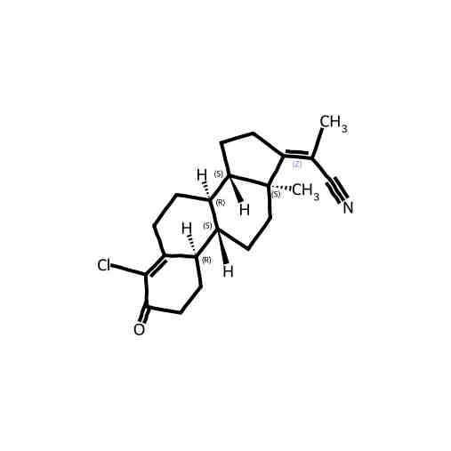 C/C(C#N)=C1\CC[C@H]2[C@@H]3CCC4=C(Cl)C(=O)CC[C@@H]4[C@H]3CC[C@]12C